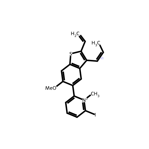 C=Cc1sc2cc(OC)c(-c3cccc(I)[n+]3C)cc2c1/C=C\C